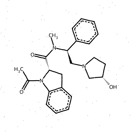 CC(=O)N1c2ccccc2C[C@H]1C(=O)N(C)[C@H](CN1CC[C@H](O)C1)c1ccccc1